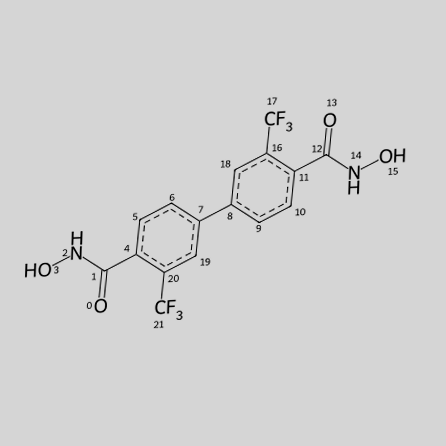 O=C(NO)c1ccc(-c2ccc(C(=O)NO)c(C(F)(F)F)c2)cc1C(F)(F)F